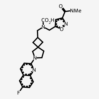 CNC(=O)c1cc(CN(CC2CC3(CCN(c4ccc5cc(F)ccc5n4)C3)C2)C(=O)O)on1